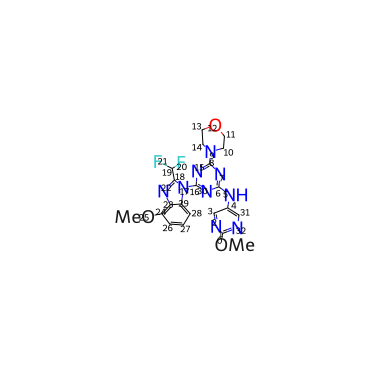 COc1ncc(Nc2nc(N3CCOCC3)nc(-n3c(C(F)F)nc4c(OC)cccc43)n2)cn1